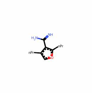 CCCc1coc(CCC)c1C(=N)N